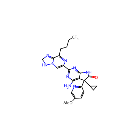 COc1ccc(C2(C3CC3)C(=O)Nc3nc(C4=CN5NCN=C5C(CCCC(F)(F)F)=N4)nc(N)c32)nc1